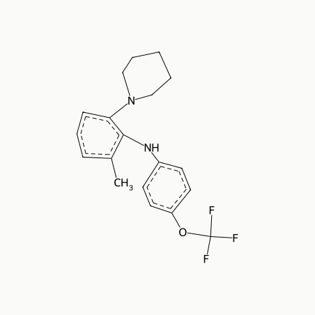 Cc1cccc(N2CCCCC2)c1Nc1ccc(OC(F)(F)F)cc1